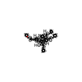 N[C@@H]1C[C@H](NC(=O)OCc2ccccc2)[C@@H](O[C@H]2O[C@H](CNC(=O)OCc3ccccc3)C=C[C@H]2NC(=O)OCc2ccccc2)[C@H](O[C@@H]2O[C@H](CO)[C@@H](O[C@@H]3CC=C[C@@H](CNC(=O)OCc4ccccc4)O3)[C@H]2O)[C@H]1O